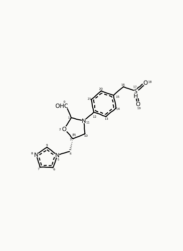 O=CC1O[C@@H](Cn2ccnc2)CN1c1ccc(C[SH](=O)=O)cc1